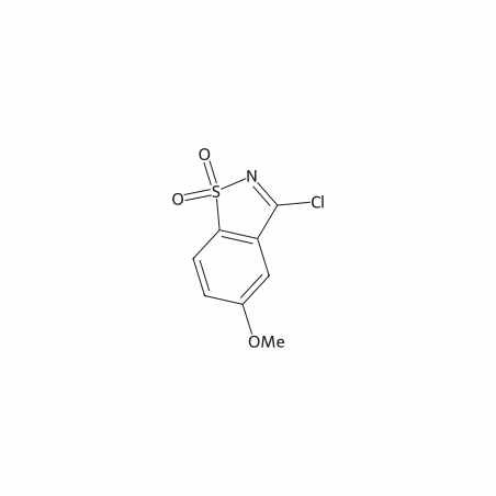 COc1ccc2c(c1)C(Cl)=NS2(=O)=O